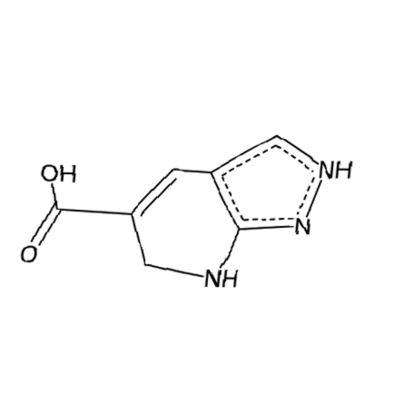 O=C(O)C1=Cc2c[nH]nc2NC1